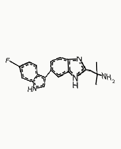 CC(C)(N)c1nc2ccc(-c3c[nH]c4cc(F)ccc34)cc2[nH]1